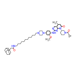 COc1cc(N2CCN(CCCCCCCCCCCCNC(=O)CC34CC5CC(CC(C5)C3)C4)CC2)ccc1Nc1ncc2c(C)cc(=O)n([C@H]3CCCN(C(=O)C4CC4)C3)c2n1